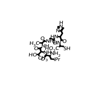 CC(C)CC(N)C(=O)NC(C(=O)NC(C)C(=O)NCC(=O)NC(Cc1c[nH]cn1)C(=O)NC(CS)C(=O)O)C(C)O